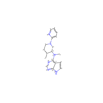 CC1CCN(c2ccccn2)CC1N(C)c1ncnc2[nH]ccc12